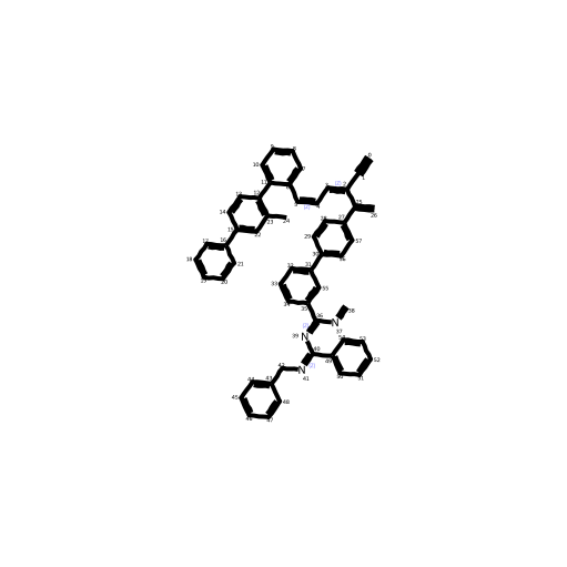 C#C/C(=C/C=C\c1ccccc1-c1ccc(-c2ccccc2)cc1C)C(=C)c1ccc(-c2cccc(/C(N=C)=N/C(=N\Cc3ccccc3)c3ccccc3)c2)cc1